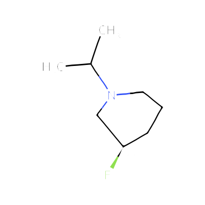 CC(C)N1CCC[C@@H](F)C1